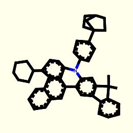 CC1(C)c2ccccc2-c2cc(-c3ccc4ccccc4c3)c(N(c3ccc(C4CCCCC4)cc3)c3ccc(C45CCC(CC4)C5)cc3)cc21